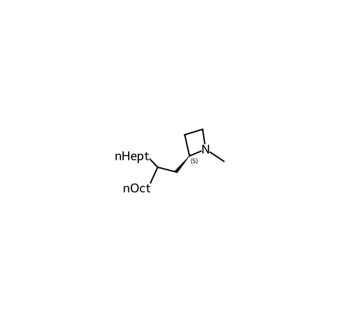 CCCCCCCCC(CCCCCCC)C[C@H]1CCN1C